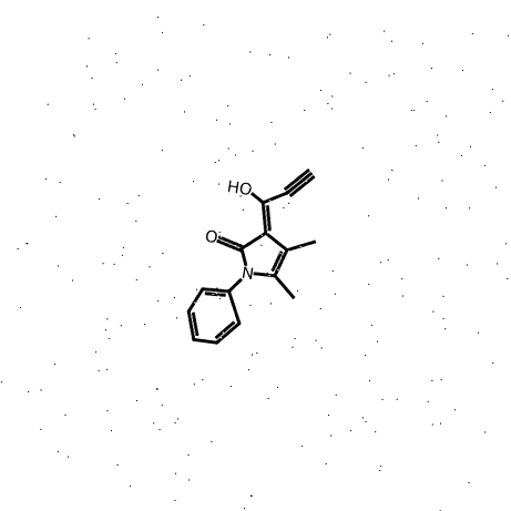 C#C/C(O)=C1/C(=O)N(c2ccccc2)C(C)=C1C